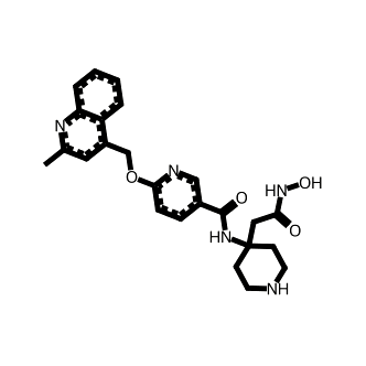 Cc1cc(COc2ccc(C(=O)NC3(CC(=O)NO)CCNCC3)cn2)c2ccccc2n1